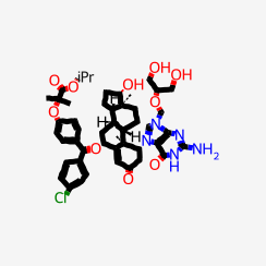 CC(C)OC(=O)C(C)(C)Oc1ccc(C(=O)c2ccc(Cl)cc2)cc1.C[C@]12CC[C@H]3[C@@H](CCC4=CC(=O)CC[C@@]43C)[C@@H]1CC[C@@H]2O.Nc1nc2c(ncn2COC(CO)CO)c(=O)[nH]1